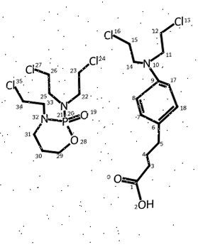 O=C(O)CCCc1ccc(N(CCCl)CCCl)cc1.O=P1(N(CCCl)CCCl)OCCCN1CCCl